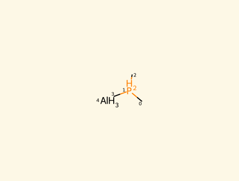 C[PH2](C)C.[AlH3]